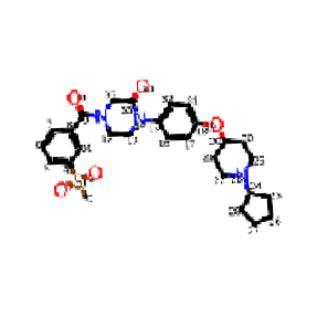 CS(=O)(=O)c1cccc(C(=O)N2CCN(c3ccc(OC4CCN(C5CCCC5)CC4)cc3)C(=O)C2)c1